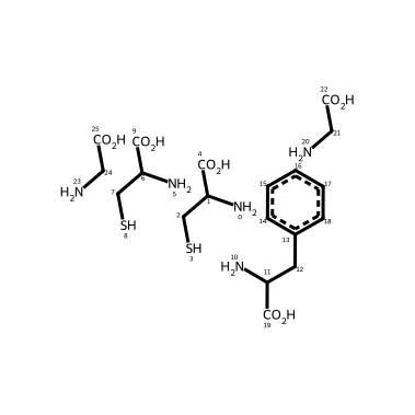 NC(CS)C(=O)O.NC(CS)C(=O)O.NC(Cc1ccccc1)C(=O)O.NCC(=O)O.NCC(=O)O